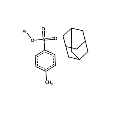 C1C2CC3CC1CC(C2)C3.CCOS(=O)(=O)c1ccc(C)cc1